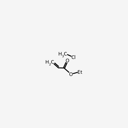 C=CC(=O)OCC.CCl